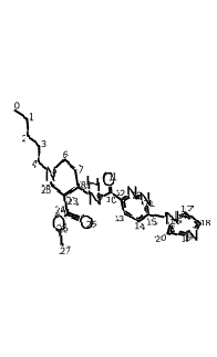 CCCCCN1CCC(NC(=O)c2ccc(-n3ccnc3)nn2)C(C(=O)OC)C1